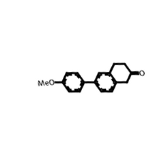 COc1ccc(-c2ccc3c(c2)CCC(=O)C3)cc1